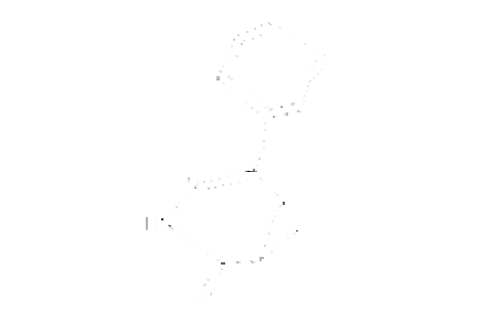 O=C1NN=C(c2ccccc2)C2CC12